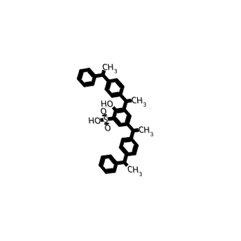 CC(c1ccccc1)c1ccc(C(C)c2cc(C(C)c3ccc(C(C)c4ccccc4)cc3)c(O)c(S(=O)(=O)O)c2)cc1